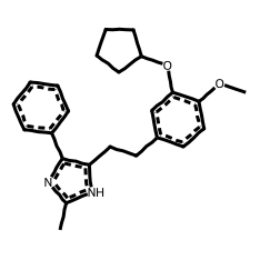 COc1ccc(CCc2[nH]c(C)nc2-c2ccccc2)cc1OC1CCCC1